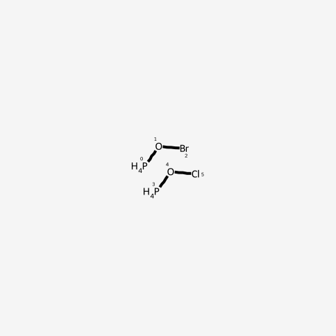 [PH4]OBr.[PH4]OCl